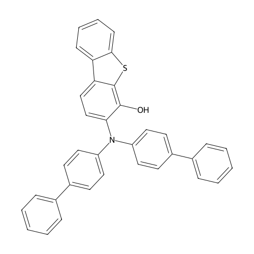 Oc1c(N(c2ccc(-c3ccccc3)cc2)c2ccc(-c3ccccc3)cc2)ccc2c1sc1ccccc12